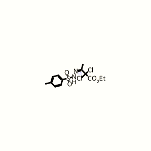 CCOC(=O)C(Cl)(Cl)/C(C)=N\NS(=O)(=O)c1ccc(C)cc1